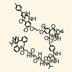 COc1cc2c(cc1OCCCOc1cc3c(cc1OC)C(=O)N1CC4(CC4)C[C@H]1C(O)N3C(=O)OCc1ccc(NC(=O)[C@H](C)NC(=O)[C@@H](NC(=O)CNC(=O)CNC(=O)CCC(=O)N3Cc4ccccc4-c4nnn(C(C)C)c4-c4ccccc43)C(C)C)cc1)NC[C@@H]1CC(c3ccc(C)cc3)=CN1C2=O